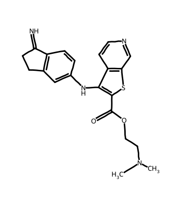 CN(C)CCOC(=O)c1sc2cnccc2c1Nc1ccc2c(c1)CCC2=N